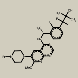 COc1nc2ncnc(N[C@H](C)c3cccc(C(F)(F)C(C)(C)O)c3F)c2cc1N1CCN(C(C)C)CC1